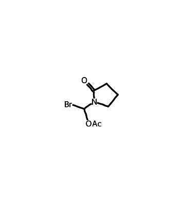 CC(=O)OC(Br)N1CCCC1=O